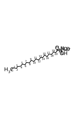 CCCCCCCCCCCCCCCCCCCCCC(=O)N(O)N=C=O